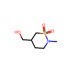 CN1CCC(CO)CS1(=O)=O